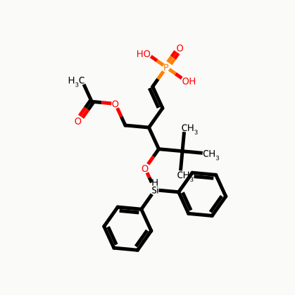 CC(=O)OCC(C=CP(=O)(O)O)C(O[SiH](c1ccccc1)c1ccccc1)C(C)(C)C